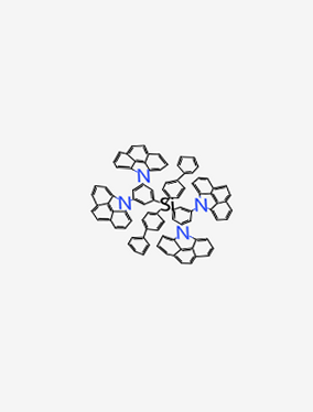 c1ccc(-c2ccc([Si](c3ccc(-c4ccccc4)cc3)(c3cc(-n4c5cccc6ccc7cccc4c7c65)cc(-n4c5cccc6ccc7cccc4c7c65)c3)c3cc(-n4c5cccc6ccc7cccc4c7c65)cc(-n4c5cccc6ccc7cccc4c7c65)c3)cc2)cc1